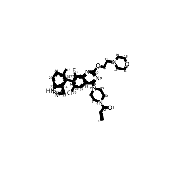 C=CC(=O)N1CCN(c2nc(OCCN3CCOCC3)nc3c(F)c(-c4c(C)ccc5[nH]ncc45)c(Cl)cc23)CC1